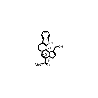 COC(=O)C1=CN2CCc3c([nH]c4ccccc34)[C@@H]2[C@@]2(O)C(CO)=CC[C@H]12